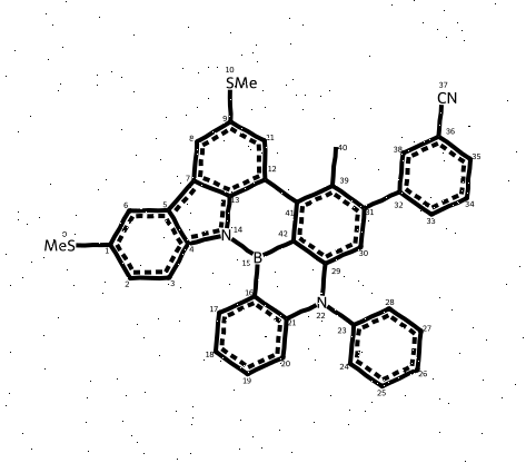 CSc1ccc2c(c1)c1cc(SC)cc3c1n2B1c2ccccc2N(c2ccccc2)c2cc(-c4cccc(C#N)c4)c(C)c-3c21